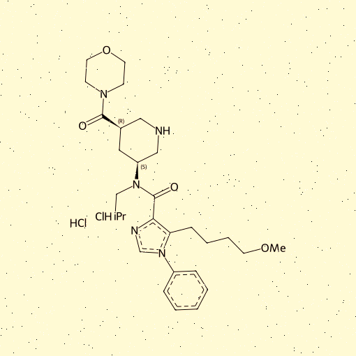 COCCCCc1c(C(=O)N(CC(C)C)[C@@H]2CNC[C@H](C(=O)N3CCOCC3)C2)ncn1-c1ccccc1.Cl.Cl